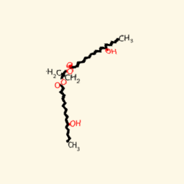 [CH2]C([CH2])(COC(=O)CCCCCCCCCCC(O)CCCCCC)COC(=O)CCCCCCCCCCC(O)CCCCCC